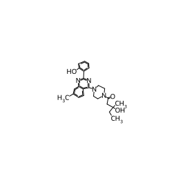 CCC(C)(O)CC(=O)N1CCN(c2nc(-c3ccccc3O)nc3cc(C)ccc23)CC1